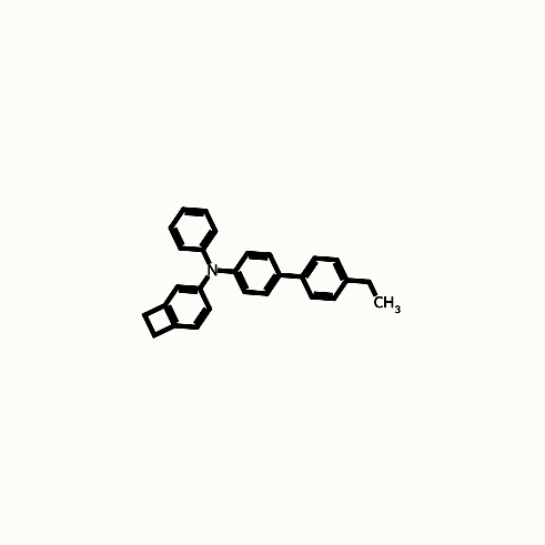 CCc1ccc(-c2ccc(N(c3ccccc3)c3ccc4c(c3)CC4)cc2)cc1